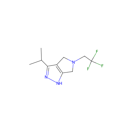 CC(C)c1n[nH]c2c1CN(CC(F)(F)F)C2